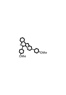 COc1ccc(-c2ccn3c(c2)cc2c4ccccc4nc(-c4ccc(OC)cc4)c23)cc1